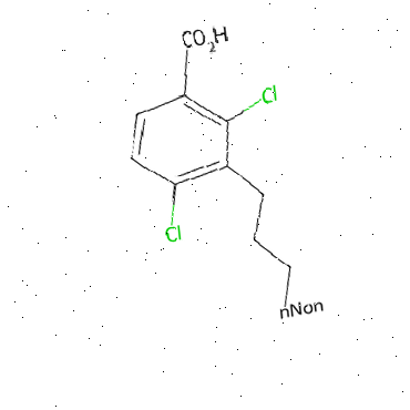 CCCCCCCCCCCCc1c(Cl)ccc(C(=O)O)c1Cl